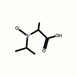 CC(C)[S+]([O-])C(C)C(=O)O